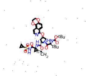 C=C[C@@H]1C[C@]1(NC(=O)[C@@H]1C[C@@H](Oc2nccc3c4c(ccc23)OCCO4)CN1C(=O)[C@@H](NC(=O)OC(C)(C)C)C(C)(C)C)C(=O)NS(=O)(=O)C1CC1